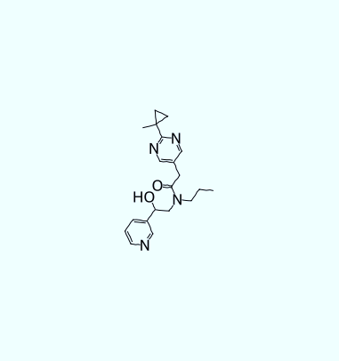 CCCN(CC(O)c1cccnc1)C(=O)Cc1cnc(C2(C)CC2)nc1